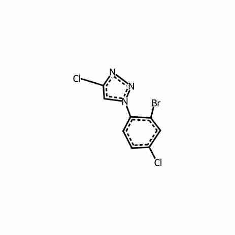 Clc1ccc(-n2cc(Cl)nn2)c(Br)c1